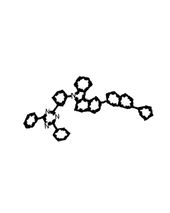 c1ccc(-c2ccc3ccc(-c4ccc5ccc6c(c5c4)c4ccccc4n6-c4cccc(-c5nc(-c6ccccc6)nc(-c6ccccc6)n5)c4)cc3c2)cc1